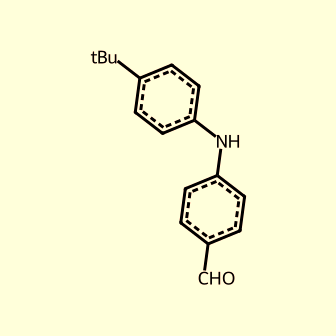 CC(C)(C)c1ccc(Nc2ccc(C=O)cc2)cc1